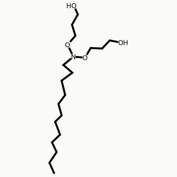 CCCCCCCCCCCCN(OCCCO)OCCCO